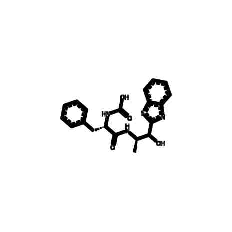 C[C@@H](NC(=O)[C@H](Cc1ccccc1)NC(=O)O)C(O)c1nc2ccccc2s1